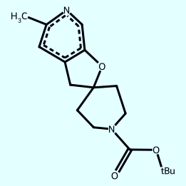 Cc1cc2c(cn1)OC1(CCN(C(=O)OC(C)(C)C)CC1)C2